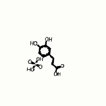 O=C(O)CCc1ccc(O)c(O)c1.O=S(=O)(O)O